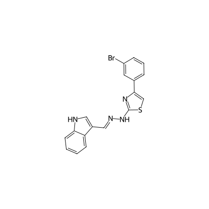 Brc1cccc(-c2csc(N/N=C/c3c[nH]c4ccccc34)n2)c1